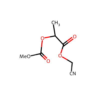 COC(=O)OC(C)C(=O)OCC#N